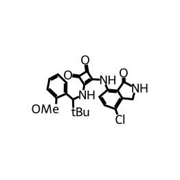 COc1ccccc1C(Nc1c(Nc2ccc(Cl)c3c2C(=O)NC3)c(=O)c1=O)C(C)(C)C